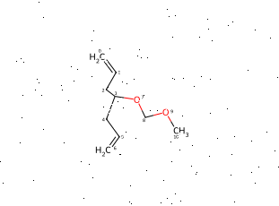 C=CCC(CC=C)OCOC